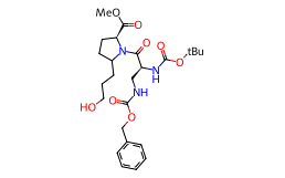 COC(=O)[C@@H]1CCC(CCCO)N1C(=O)[C@H](CNC(=O)OCc1ccccc1)NC(=O)OC(C)(C)C